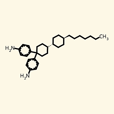 CCCCCCC[C@H]1CC[C@H](C2CCC(c3ccc(N)cc3)(c3ccc(N)cc3)CC2)CC1